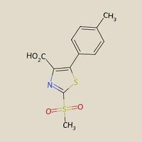 Cc1ccc(-c2sc(S(C)(=O)=O)nc2C(=O)O)cc1